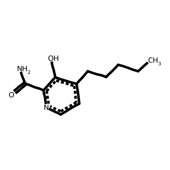 CCCCCc1ccnc(C(N)=O)c1O